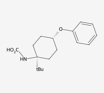 CC(C)(C)[C@]1(NC(=O)O)CC[C@H](Oc2ccccc2)CC1